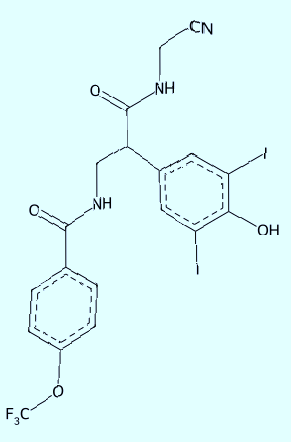 N#CCNC(=O)C(CNC(=O)c1ccc(OC(F)(F)F)cc1)c1cc(I)c(O)c(I)c1